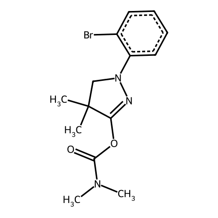 CN(C)C(=O)OC1=NN(c2ccccc2Br)CC1(C)C